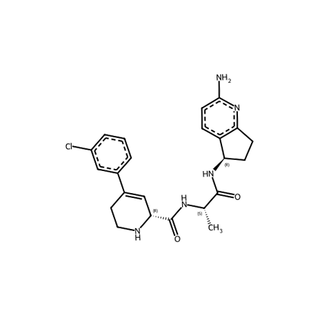 C[C@H](NC(=O)[C@H]1C=C(c2cccc(Cl)c2)CCN1)C(=O)N[C@@H]1CCc2nc(N)ccc21